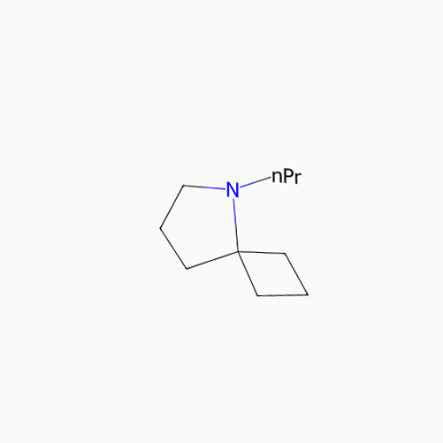 CCCN1CCCC12CCC2